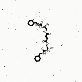 CC(C)[C@@H](COC(=O)/C=C/C(=O)OC[C@@H](NC(=O)NCC1CCCCC1)C(C)C)NC(=O)NCC1CCCCC1